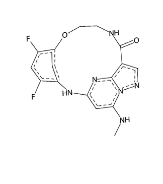 CNc1cc2nc3c(cnn13)C(=O)NCCOc1cc(c(F)cc1F)N2